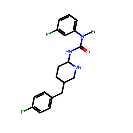 CCN(C(=O)NC1CCC(Cc2ccc(F)cc2)CN1)c1cccc(F)c1